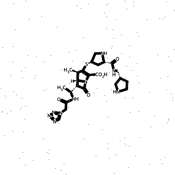 CC(NC(=O)Cn1cnnn1)[C@H]1C(=O)N2C(C(=O)O)=C(S[C@@H]3CN[C@H](C(=O)NC[C@@H]4CCNC4)C3)[C@H](C)[C@H]12